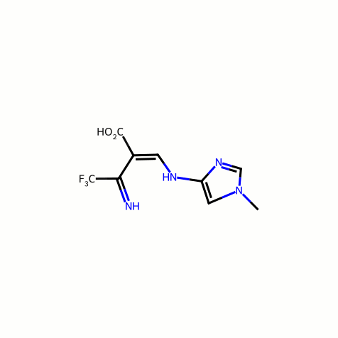 Cn1cnc(N/C=C(\C(=N)C(F)(F)F)C(=O)O)c1